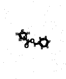 O=C(OCc1ccccc1)N1C=CSC1